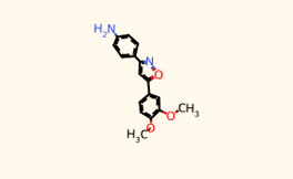 COc1ccc(-c2cc(-c3ccc(N)cc3)no2)cc1OC